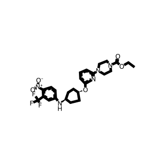 CCOC(=O)N1CCN(c2cccc(O[C@H]3CC[C@H](Nc4ccc([N+](=O)[O-])c(C(F)(F)F)c4)CC3)n2)CC1